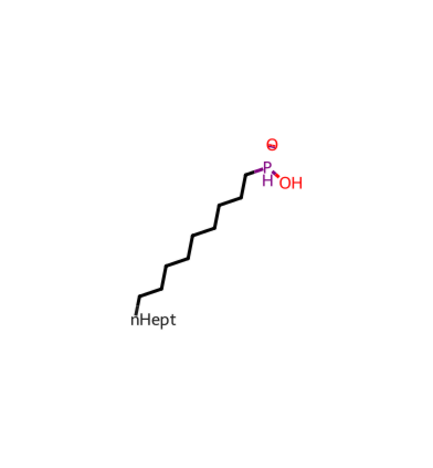 CCCCCCCCCCCCCCCC[PH](=O)O